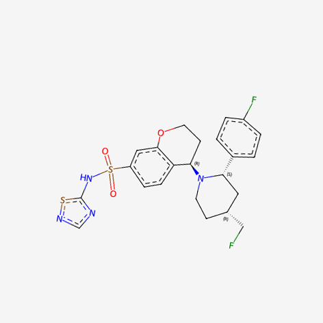 O=S(=O)(Nc1ncns1)c1ccc2c(c1)OCC[C@H]2N1CC[C@@H](CF)C[C@H]1c1ccc(F)cc1